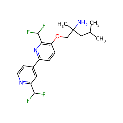 CC(C)CC(C)(N)COc1ccc(-c2ccnc(C(F)F)c2)nc1C(F)F